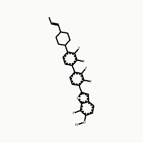 C/C=C/C1CCC(c2ccc(-c3ccc(-c4cc5ccc(OCC)c(F)c5s4)c(F)c3F)c(F)c2F)CC1